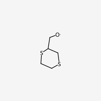 [O]CC1CSCCS1